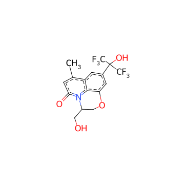 Cc1cc(=O)n2c3c(cc(C(O)(C(F)(F)F)C(F)(F)F)cc13)OCC2CO